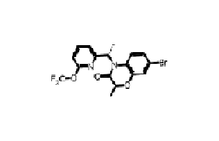 CC1Oc2cc(Br)ccc2N([C@@H](C)c2cccc(OC(F)(F)F)n2)C1=O